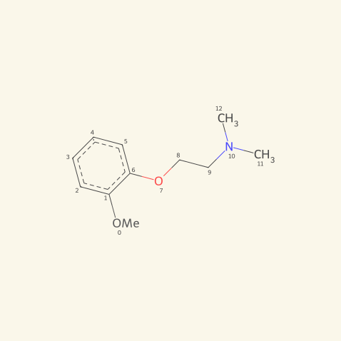 COc1cc[c]cc1OCCN(C)C